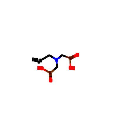 O=S(O)CN(CS(=O)O)CS(=O)(=O)O